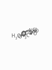 COc1ccc(Cn2nc(S(=O)(=O)Cl)cc2C)cc1